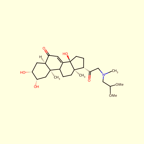 COC(CN(C)CC(=O)[C@H]1CC[C@@]2(O)C3=CC(=O)[C@@H]4C[C@@H](O)[C@@H](O)C[C@]4(C)C3CC[C@]12C)OC